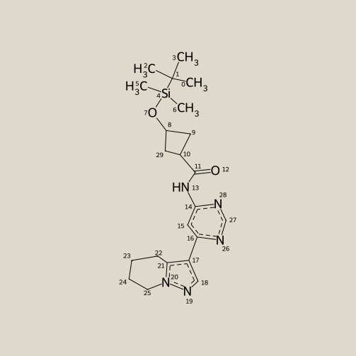 CC(C)(C)[Si](C)(C)OC1CC(C(=O)Nc2cc(-c3cnn4c3CCCC4)ncn2)C1